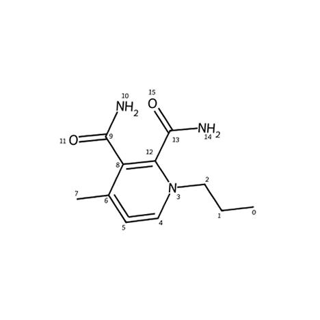 CCCN1C=C=C(C)C(C(N)=O)=C1C(N)=O